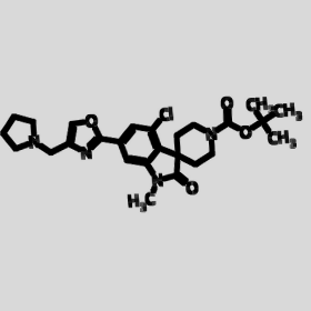 CN1C(=O)C2(CCN(C(=O)OC(C)(C)C)CC2)c2c(Cl)cc(-c3nc(CN4CCCC4)co3)cc21